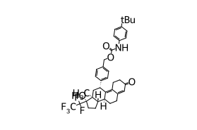 CC(C)(C)c1ccc(NC(=O)OCc2ccc([C@H]3C[C@@]4(C)[C@@H](CC[C@@]4(O)C(F)(F)C(F)(F)F)[C@@H]4CCC5=CC(=O)CCC5=C43)cc2)cc1